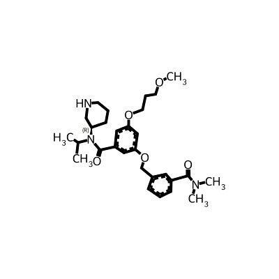 COCCCOc1cc(OCc2cccc(C(=O)N(C)C)c2)cc(C(=O)N(C(C)C)[C@@H]2CCCNC2)c1